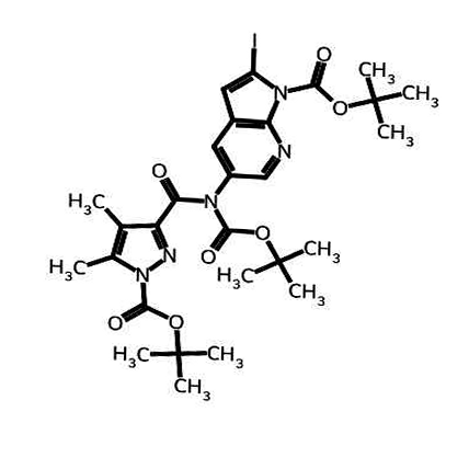 Cc1c(C(=O)N(C(=O)OC(C)(C)C)c2cnc3c(c2)cc(I)n3C(=O)OC(C)(C)C)nn(C(=O)OC(C)(C)C)c1C